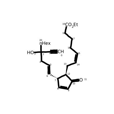 C#CC(O)(CC=C[C@H]1C=CC(=O)[C@@H]1C/C=C\CCCC(=O)OCC)CCCCCC